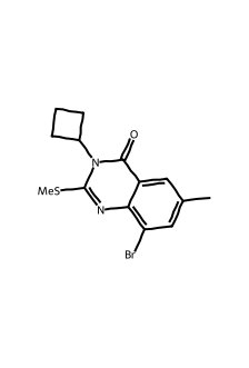 CSc1nc2c(Br)cc(C)cc2c(=O)n1C1CCC1